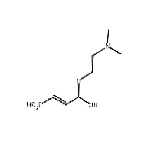 CN(C)CCOC(O)C=CC(=O)O